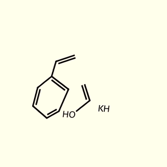 C=CO.C=Cc1ccccc1.[KH]